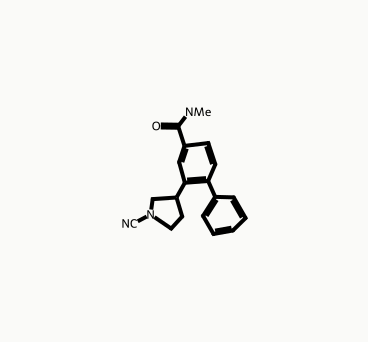 CNC(=O)c1ccc(-c2ccccc2)c(C2CCN(C#N)C2)c1